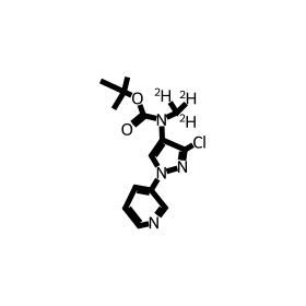 [2H]C([2H])([2H])N(C(=O)OC(C)(C)C)c1cn(-c2cccnc2)nc1Cl